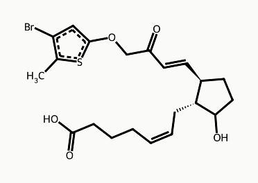 Cc1sc(OCC(=O)/C=C/[C@H]2CCC(O)[C@@H]2C/C=C\CCCC(=O)O)cc1Br